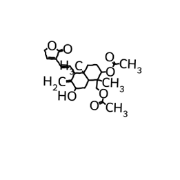 C=C1C(O)CC2C(C)(COC(C)=O)C(OC(C)=O)CCC2(C)C1/C=C/C1=CCOC1=O